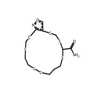 NC(=O)C1CCCCCCCCCCCc2nocc2CCC1